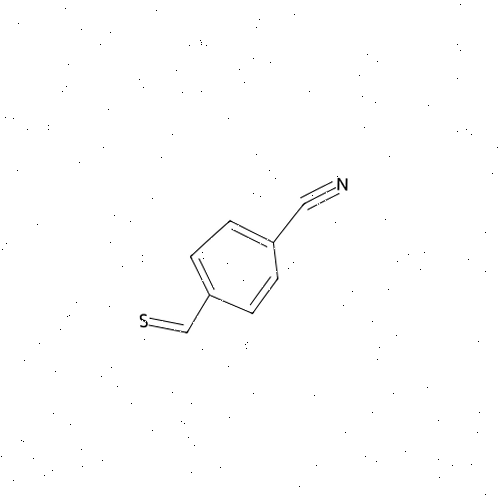 N#Cc1ccc(C=S)cc1